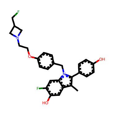 Cc1c(-c2ccc(O)cc2)n(Cc2ccc(OCCN3CC(CF)C3)cc2)c2cc(F)c(O)cc12